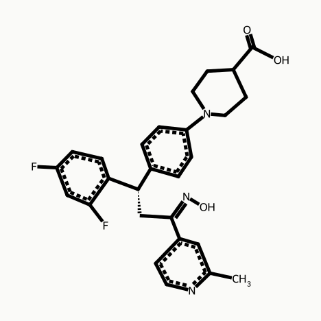 Cc1cc(C(C[C@@H](c2ccc(N3CCC(C(=O)O)CC3)cc2)c2ccc(F)cc2F)=NO)ccn1